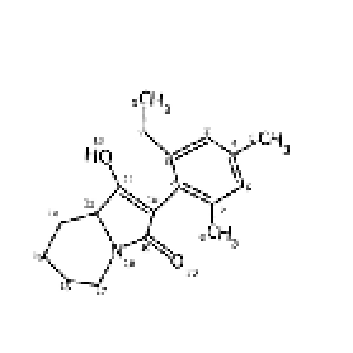 CCc1cc(C)cc(C)c1C1=C(O)C2CCCCN2C1=O